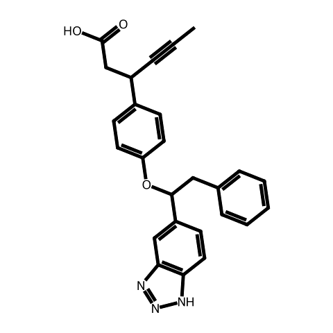 CC#CC(CC(=O)O)c1ccc(OC(Cc2ccccc2)c2ccc3[nH]nnc3c2)cc1